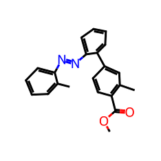 COC(=O)c1ccc(-c2ccccc2/N=N/c2ccccc2C)cc1C